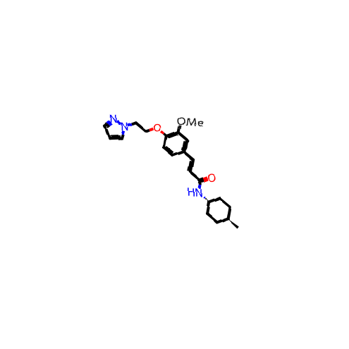 COc1cc(C=CC(=O)N[C@H]2CC[C@H](C)CC2)ccc1OCCn1cccn1